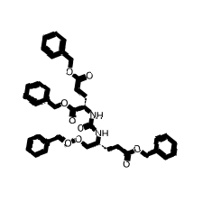 O=C(N[C@H](CCC(=O)OCc1ccccc1)COOCc1ccccc1)N[C@@H](CCC(=O)OCc1ccccc1)C(=O)OCc1ccccc1